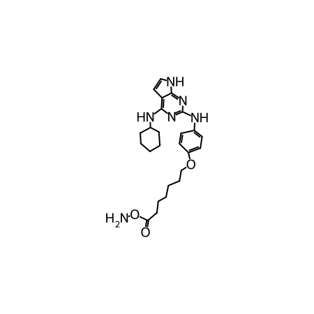 NOC(=O)CCCCCCOc1ccc(Nc2nc(NC3CCCCC3)c3cc[nH]c3n2)cc1